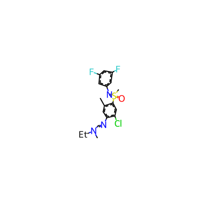 CCN(C)C=Nc1cc(C)c(S(C)(=O)=Nc2cc(F)cc(F)c2)cc1Cl